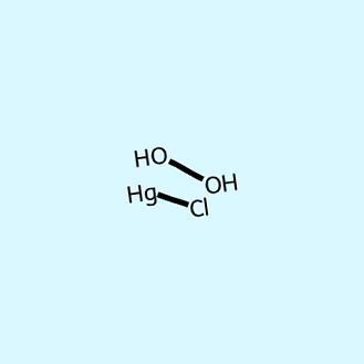 OO.[Cl][Hg]